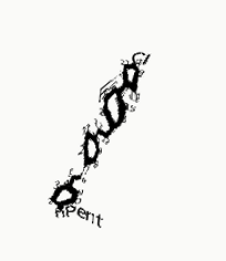 CCCCCc1ccc(CC[C@H]2CC[C@H](CCc3ccc(-c4ccc(Cl)cc4)c(F)c3)CC2)cc1